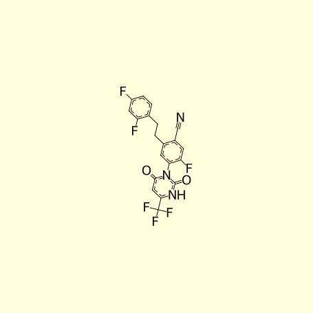 N#Cc1cc(F)c(-n2c(=O)cc(C(F)(F)F)[nH]c2=O)cc1CCc1ccc(F)cc1F